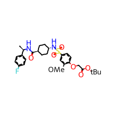 COc1cc(S(=O)(=O)N[C@H]2CC[C@H](C(=O)N[C@H](C)c3ccc(F)cc3)CC2)ccc1OCC(=O)OC(C)(C)C